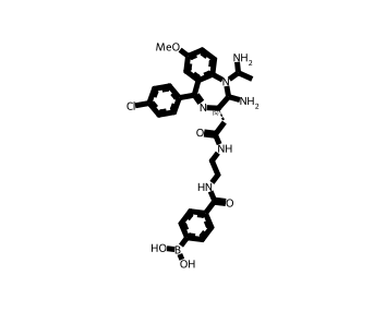 COc1ccc2c(c1)C(c1ccc(Cl)cc1)=N[C@@H](CC(=O)NCCNC(=O)c1ccc(B(O)O)cc1)C(N)N2C(C)N